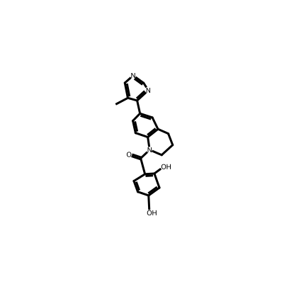 Cc1cncnc1-c1ccc2c(c1)CCCN2C(=O)c1ccc(O)cc1O